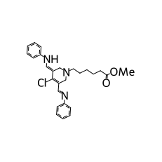 COC(=O)CCCCCN1CC(/C=N/c2ccccc2)=C(Cl)C(=C/Nc2ccccc2)/C1